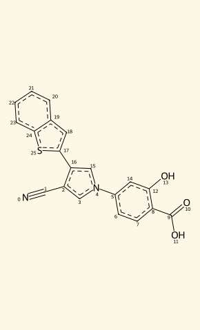 N#Cc1cn(-c2ccc(C(=O)O)c(O)c2)cc1-c1cc2ccccc2s1